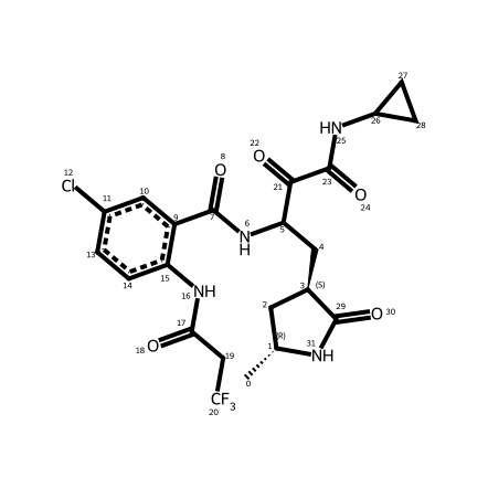 C[C@@H]1C[C@@H](CC(NC(=O)c2cc(Cl)ccc2NC(=O)CC(F)(F)F)C(=O)C(=O)NC2CC2)C(=O)N1